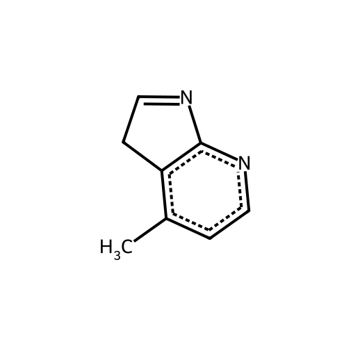 Cc1ccnc2c1CC=N2